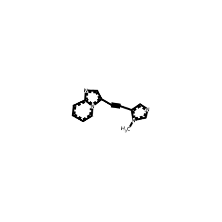 Cn1cncc1C#Cc1cnc2ccc[c]n12